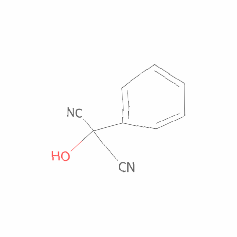 N#CC(O)(C#N)c1ccccc1